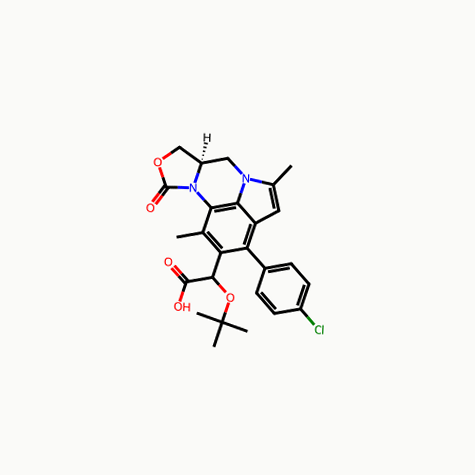 Cc1c(C(OC(C)(C)C)C(=O)O)c(-c2ccc(Cl)cc2)c2cc(C)n3c2c1N1C(=O)OC[C@H]1C3